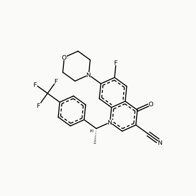 C[C@H](c1ccc(C(F)(F)F)cc1)n1cc(C#N)c(=O)c2cc(F)c(N3CCOCC3)cc21